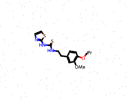 COc1cc(CCNC(=S)Nc2nccs2)ccc1OC(C)C